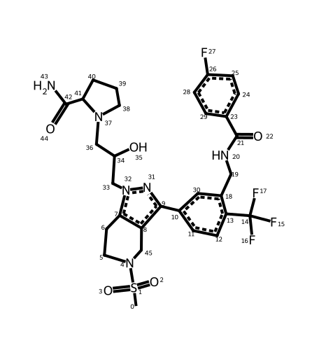 CS(=O)(=O)N1CCc2c(c(-c3ccc(C(F)(F)F)c(CNC(=O)c4ccc(F)cc4)c3)nn2CC(O)CN2CCCC2C(N)=O)C1